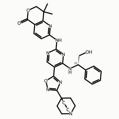 CC1(C)COC(=O)c2ccc(Nc3ncc(-c4nc(C56CCN(CC5)CC6)no4)c(N[C@H](CO)c4ccccc4)n3)nc21